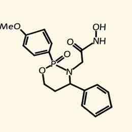 COc1ccc(P2(=O)OCCC(c3ccccc3)N2CC(=O)NO)cc1